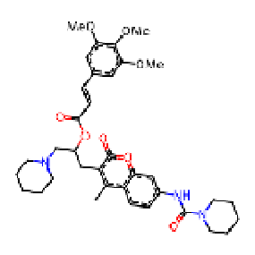 COc1cc(C=CC(=O)OC(Cc2c(C)c3ccc(NC(=O)N4CCCCC4)cc3oc2=O)CN2CCCCC2)cc(OC)c1OC